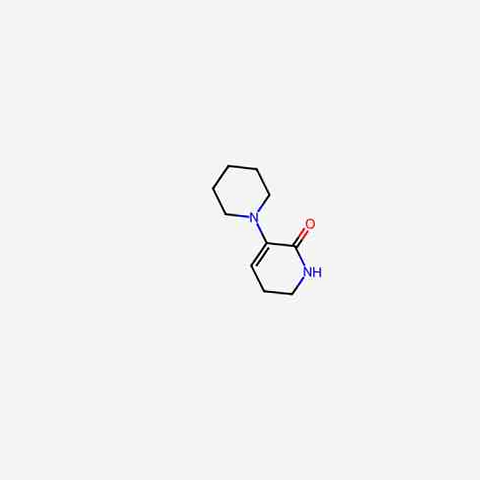 O=C1NCCC=C1N1CCCCC1